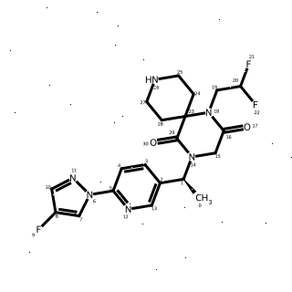 C[C@@H](c1ccc(-n2cc(F)cn2)nc1)N1CC(=O)N(CC(F)F)C2(CCNCC2)C1=O